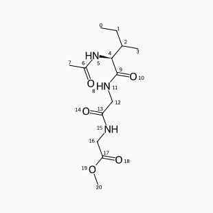 CCC(C)[C@H](NC(C)=O)C(=O)NCC(=O)NCC(=O)OC